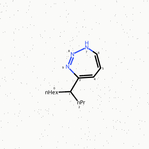 CCCCCCC(CCC)C1=CC=CNN=N1